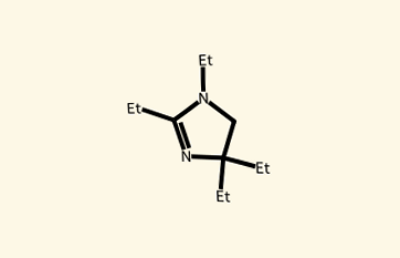 CCC1=NC(CC)(CC)CN1CC